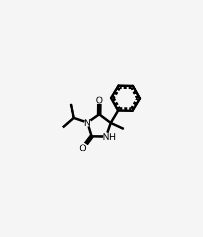 CC(C)N1C(=O)NC(C)(c2ccccc2)C1=O